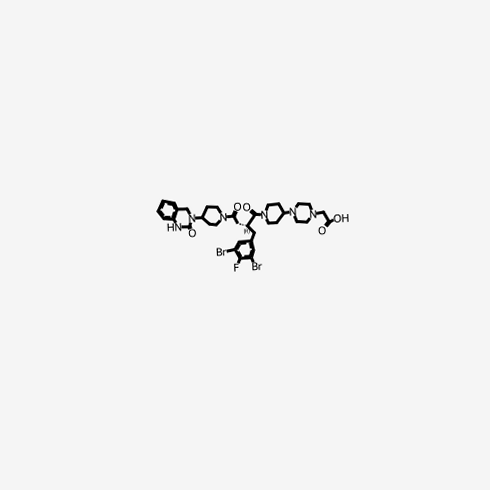 O=C(O)CN1CCN(C2CCN(C(=O)[C@@H](CC(=O)N3CCC(N4Cc5ccccc5NC4=O)CC3)Cc3cc(Br)c(F)c(Br)c3)CC2)CC1